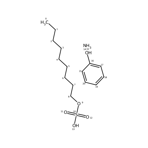 CCCCCCCCCOS(=O)(=O)O.N.Oc1ccccc1